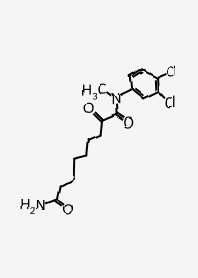 CN(C(=O)C(=O)CCCCCCC(N)=O)c1ccc(Cl)c(Cl)c1